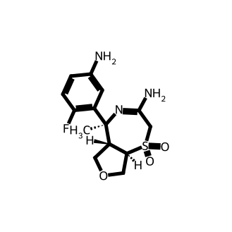 C[C@]1(c2cc(N)ccc2F)N=C(N)CS(=O)(=O)[C@H]2COC[C@@H]21